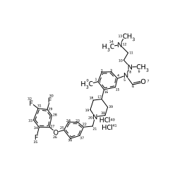 Cc1ccc(N(C=O)N(C)CCN(C)C)cc1C1CCN(Cc2ccc(Oc3cc(F)c(F)cc3F)cc2)CC1.Cl.Cl